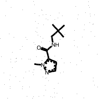 Cn1nccc1C(=O)NCC(C)(C)C